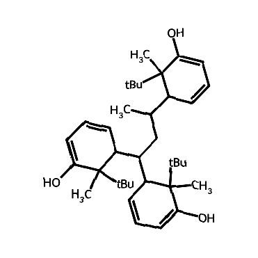 CC(CC(C1C=CC=C(O)C1(C)C(C)(C)C)C1C=CC=C(O)C1(C)C(C)(C)C)C1C=CC=C(O)C1(C)C(C)(C)C